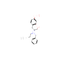 CCCN(Cc1ccccc1)C1COc2cc(O)ccc2C1